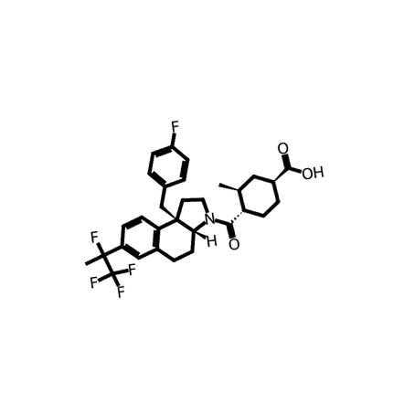 C[C@H]1C[C@@H](C(=O)O)CC[C@@H]1C(=O)N1CC[C@@]2(Cc3ccc(F)cc3)c3ccc(C(C)(F)C(F)(F)F)cc3CC[C@@H]12